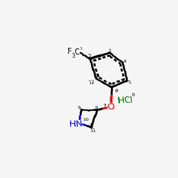 Cl.FC(F)(F)c1cccc(OC2CNC2)c1